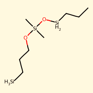 CCC[SiH2]O[Si](C)(C)OCCC[SiH3]